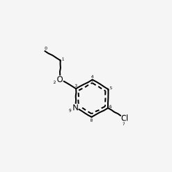 CCOc1[c]cc(Cl)cn1